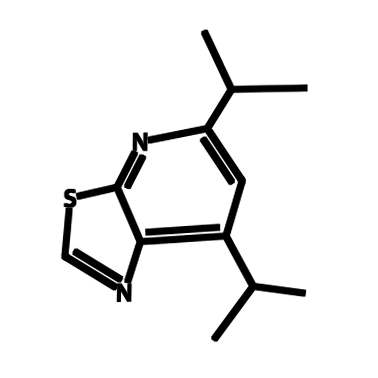 CC(C)c1cc(C(C)C)c2ncsc2n1